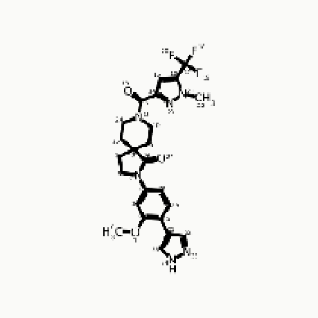 COc1cc(N2CCC3(CCN(C(=O)c4cc(C(F)(F)F)n(C)n4)CC3)C2=O)ccc1-c1cn[nH]c1